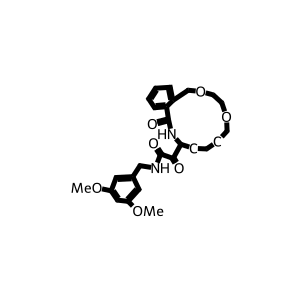 COc1cc(CNC(=O)C(=O)C2CCCCOCCOCc3ccccc3C(=O)N2)cc(OC)c1